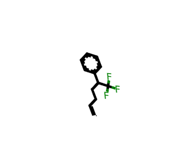 [CH]=CCCC(c1ccccc1)C(F)(F)F